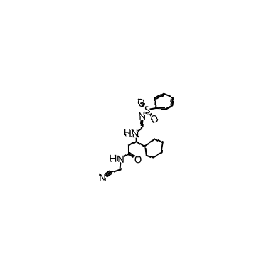 N#CCNC(=O)CC(NC=NS(=O)(=O)c1ccccc1)C1CCCCC1